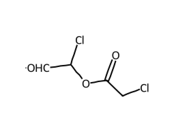 O=[C]C(Cl)OC(=O)CCl